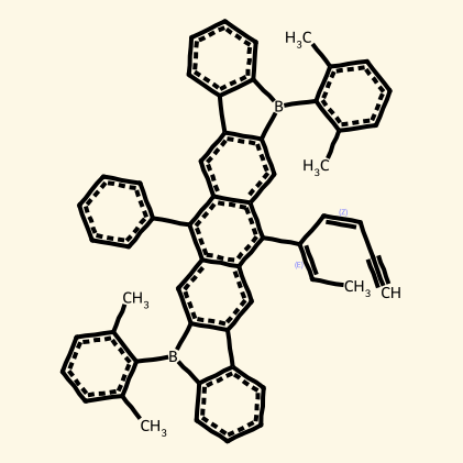 C#C/C=C\C(=C/C)c1c2cc3c(cc2c(-c2ccccc2)c2cc4c(cc12)B(c1c(C)cccc1C)c1ccccc1-4)B(c1c(C)cccc1C)c1ccccc1-3